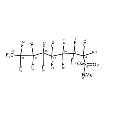 C[N]S(=O)(=O)C(F)(F)C(F)(F)C(F)(F)C(F)(F)C(F)(F)C(F)(F)C(F)(F)C(F)(F)F